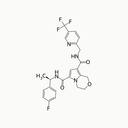 C[C@@H](NC(=O)c1cc(C(=O)NCc2ccc(C(F)(F)F)cn2)c2n1CCOC2)c1ccc(F)cc1